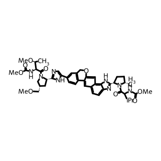 COC[C@H]1C[C@@H](c2ncc(-c3ccc4c(c3)COc3cc5c(ccc6nc([C@@H]7CC[C@H](C)N7C(=O)C(NC(=O)OC)C(C)C)[nH]c65)cc3-4)[nH]2)N(C(=O)[C@@H](NC(=O)OC)[C@@H](C)OC)C1